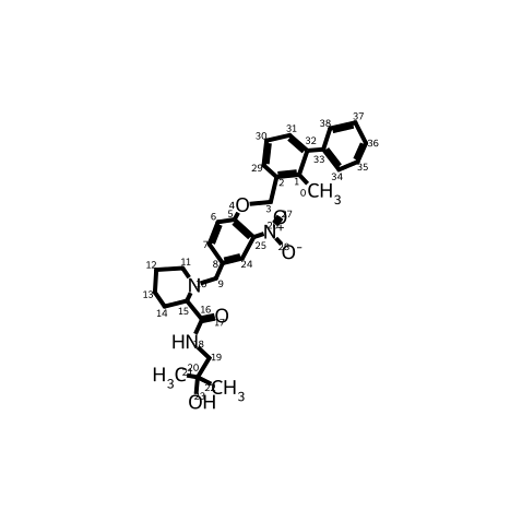 Cc1c(COc2ccc(CN3CCCCC3C(=O)NCC(C)(C)O)cc2[N+](=O)[O-])cccc1-c1ccccc1